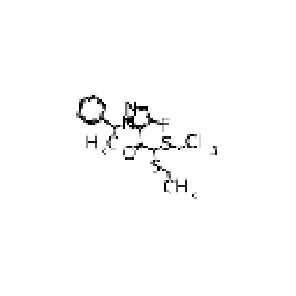 CCSC(SCC)C(=O)c1c(F)cnn1[C@H](C)c1ccccc1